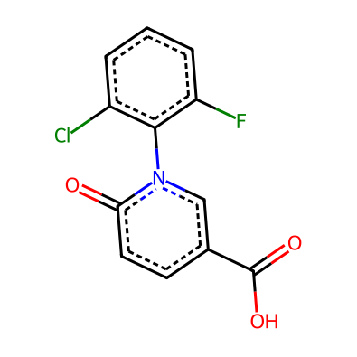 O=C(O)c1ccc(=O)n(-c2c(F)cccc2Cl)c1